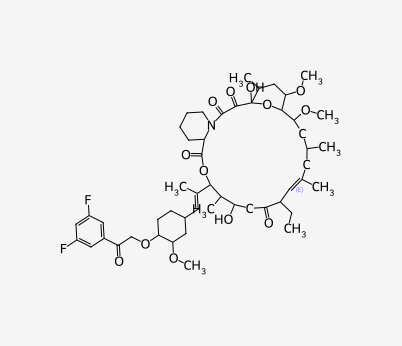 CCC1/C=C(\C)CC(C)CC(OC)C2OC(O)(C(=O)C(=O)N3CCCCC3C(=O)OC(C(C)=CC3CCC(OCC(=O)c4cc(F)cc(F)c4)C(OC)C3)C(C)C(O)CC1=O)C(C)CC2OC